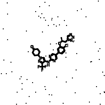 C[C@@H](Cn1cnnn1)Oc1cc(-c2cnc(Nc3cn(C4CCC(=O)CC4)nc3C(F)(F)F)nc2)ccc1Cl